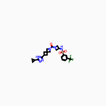 O=C(N1CC(NS(=O)(=O)c2cccc(C(F)(F)F)c2)C1)N1CC2(CC(c3nnc(C4CC4)[nH]3)C2)C1